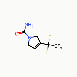 NC(=O)N1CC=C(C(F)(F)C(F)(F)F)C1